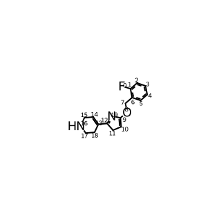 Fc1ccccc1COC1=CCC(C2=CCNCC2)=N1